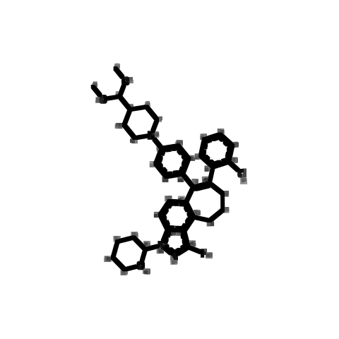 COC(OC)C1CCN(c2ccc(C3=C(c4ccccc4Cl)CCCc4c3ccc3c4c(F)nn3C3CCCCO3)cc2)CC1